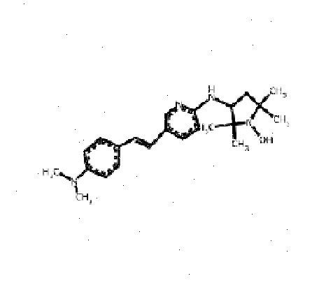 CN(C)c1ccc(/C=C/c2ccc(NC3CC(C)(C)N(O)C3(C)C)nc2)cc1